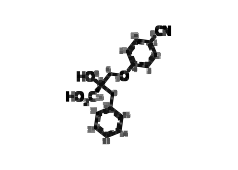 N#Cc1ccc(OC[C@@](O)(Cc2ccccc2)C(=O)O)cc1